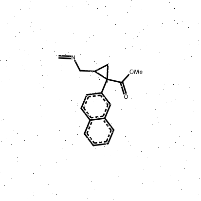 C=NCC1CC1(C(=O)OC)c1ccc2ccccc2c1